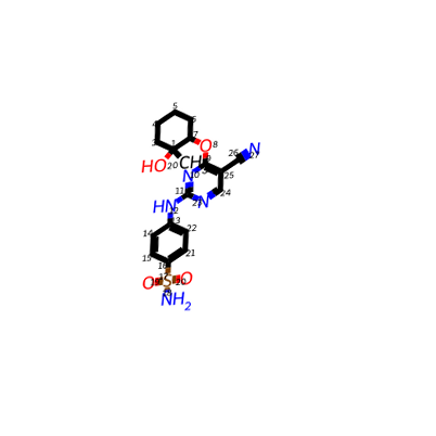 CC1(O)CCCCC1Oc1nc(Nc2ccc(S(N)(=O)=O)cc2)ncc1C#N